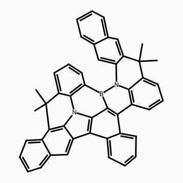 CC1(C)c2cc3ccccc3cc2N2B3c4cccc5c4-n4c6c(c7ccccc7cc6c6c7ccccc7c(c3c64)-c3cccc1c32)C5(C)C